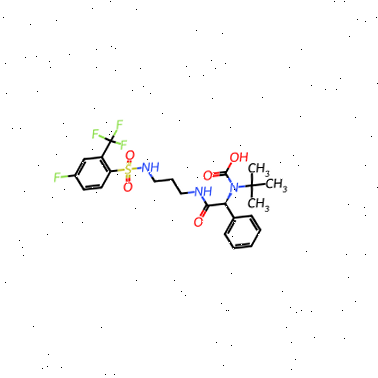 CC(C)(C)N(C(=O)O)[C@H](C(=O)NCCCNS(=O)(=O)c1ccc(F)cc1C(F)(F)F)c1ccccc1